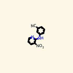 N#Cc1cccc(Nc2ncccc2[N+](=O)[O-])c1